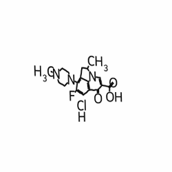 CC1Cc2c(N3CCN(C)CC3)c(F)cc3c(=O)c(C(=O)O)cn1c23.Cl